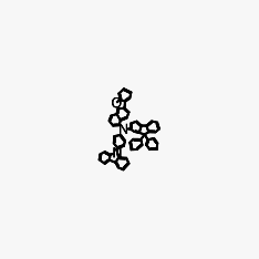 c1ccc(C2(c3ccccc3)c3ccccc3-c3ccc(N(c4ccc(-n5c6ccccc6c6ccccc65)cc4)c4cccc5c4ccc4c6ccccc6oc54)cc32)cc1